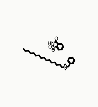 CCCCCCCCCCCCCCCC[N+](C)(C)Cc1ccccc1.O=C1NS(=O)(=O)c2ccccc21